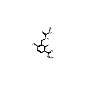 COC(=O)c1ccc(Cl)c(CNC(=S)NC(C)C)c1Cl